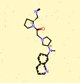 C=NC[C@@H]1CCCN1C(=O)CN1CC[C@@H](N(C)c2ccc3cccnc3c2)C1